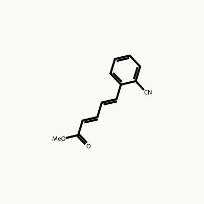 COC(=O)/C=C/C=C/c1ccccc1C#N